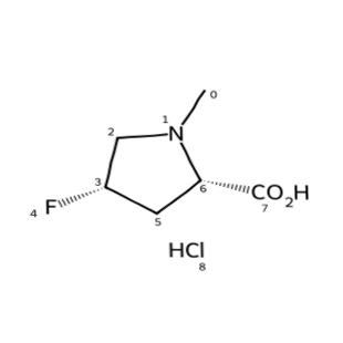 CN1C[C@@H](F)C[C@H]1C(=O)O.Cl